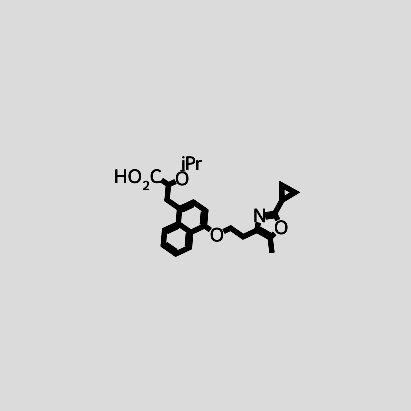 Cc1oc(C2CC2)nc1CCOc1ccc(CC(OC(C)C)C(=O)O)c2ccccc12